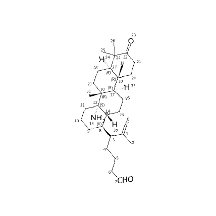 C=C(C)C(CCCC=O)[C@H]1CCC[C@]2(N)[C@@H]1CC[C@@H]1[C@@]3(C)CCC(=O)C(C)(C)[C@@H]3CC[C@]12C